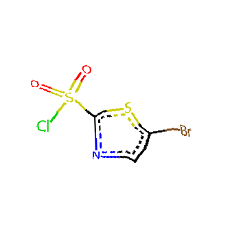 O=S(=O)(Cl)c1ncc(Br)s1